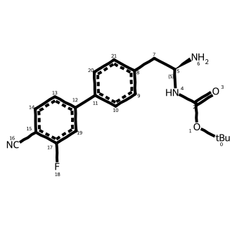 CC(C)(C)OC(=O)N[C@H](N)Cc1ccc(-c2ccc(C#N)c(F)c2)cc1